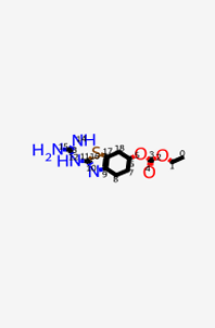 CCOC(=O)OC1CCc2nc(NC(=N)N)sc2C1